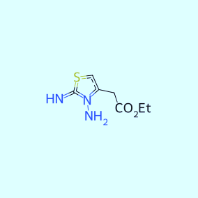 CCOC(=O)Cc1csc(=N)n1N